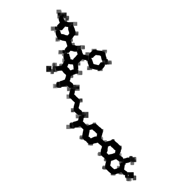 CC(=O)N1c2ccc(-c3ccc(C(=O)NCCCNC(=O)c4sc5c(N6CCOCC6)nc(-c6cnc(N)nc6)nc5c4C)cc3)cc2CC[C@@H]1C